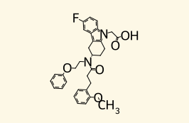 COc1ccccc1CCC(=O)N(CCOc1ccccc1)[C@H]1CCc2c(c3cc(F)ccc3n2CC(=O)O)C1